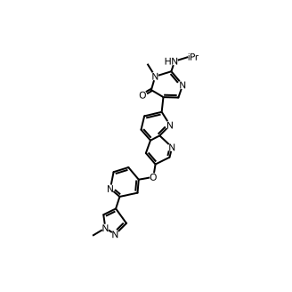 CC(C)Nc1ncc(-c2ccc3cc(Oc4ccnc(-c5cnn(C)c5)c4)cnc3n2)c(=O)n1C